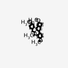 CCN(CCc1ccc(OC)cc1)c1cc(OC)ccc1C1CCc2cc(OC)ccc2C1